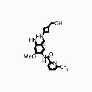 COC1=CC(=N)/C(=C\NC2CC(CO)C2)C=C1NC(=O)c1cccc(C(F)(F)F)n1